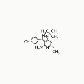 CCc1nc(N)c2c(-c3ccc(Cl)cc3)nn(C(C)(C)C)c2n1